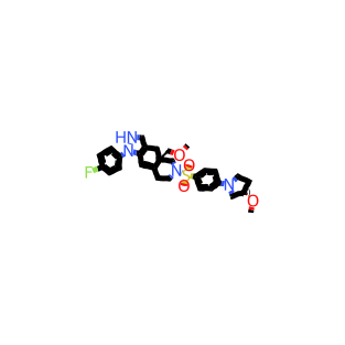 COC[C@]12CC3=C(C=C1CCN(S(=O)(=O)c1ccc(N4CC[C@H](OC)C4)cc1)C2)N(c1ccc(F)cc1)NC3